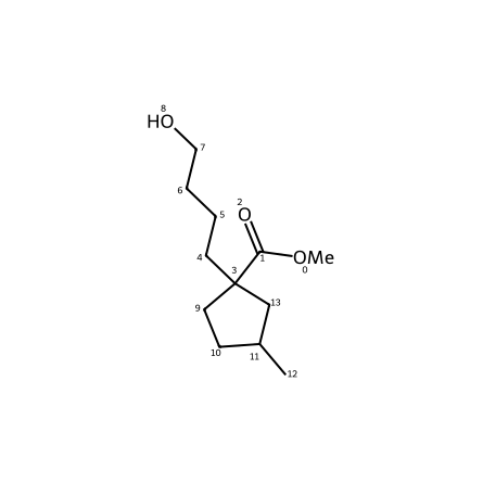 COC(=O)C1(CCCCO)CCC(C)C1